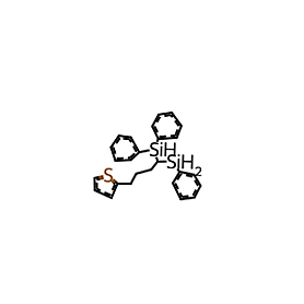 c1ccc([SiH2]C(CCCc2cccs2)[SiH](c2ccccc2)c2ccccc2)cc1